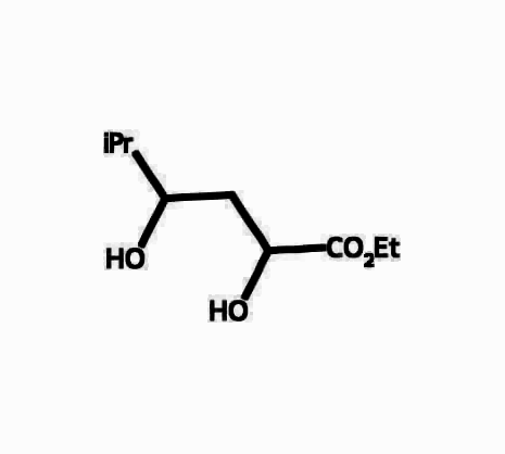 CCOC(=O)C(O)CC(O)C(C)C